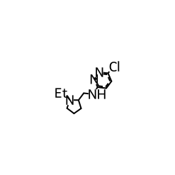 CCN1CCCC1CNc1ccc(Cl)nn1